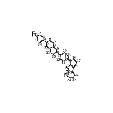 Fc1ccc(-c2ccc3cc(-c4ccc(-c5cccc6c5sc5ncccc56)nc4)ccc3c2)cc1